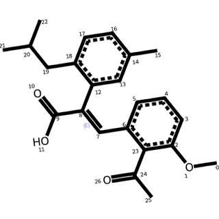 COc1cccc(/C=C(/C(=O)O)c2cc(C)ccc2CC(C)C)c1C(C)=O